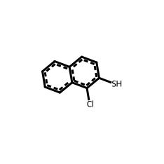 Sc1ccc2ccccc2c1Cl